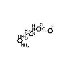 Nc1cccc(NC(=O)Nc2ccnc(Nc3ccc(OCc4cccc(F)c4)c(Cl)c3)n2)c1